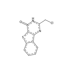 O=c1[nH]c(CCl)nc2c1sc1ccccc12